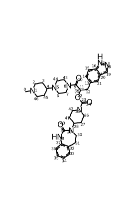 CN1CCC(N2CCN(C(=O)[C@@H](Cc3ccc4[nH]ncc4c3)OC(=O)N3CCC(N4CCc5ccccc5NC4=O)CC3)CC2)CC1